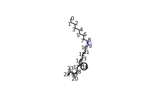 CCCCCCCC/C=C\CCCCCC(=O)CCC(C)C(C)C